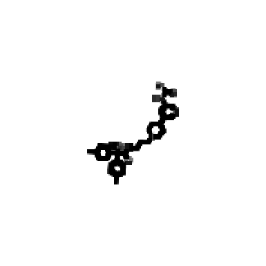 Cc1ccc(C(O)(C(=O)NCCCN2CCC(c3cncc(NC(=O)C(C)C)c3)CC2)c2ccc(C)cc2)cc1